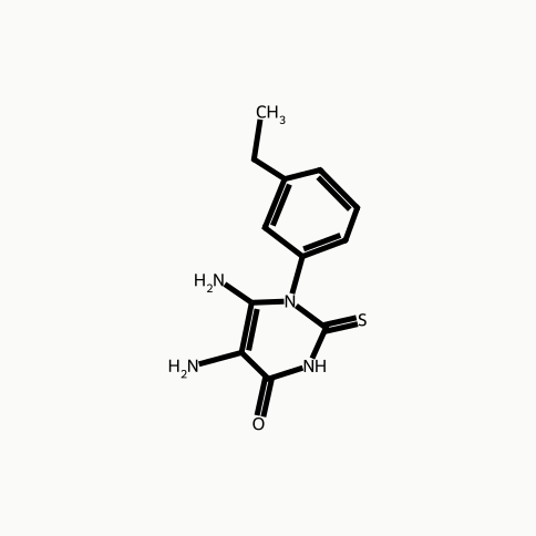 CCc1cccc(-n2c(N)c(N)c(=O)[nH]c2=S)c1